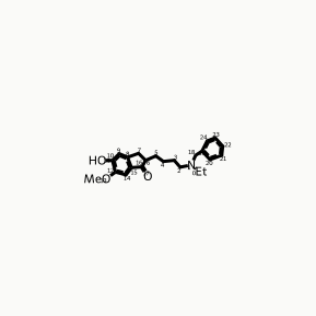 CCN(CCCCC1Cc2cc(O)c(OC)cc2C1=O)Cc1ccccc1